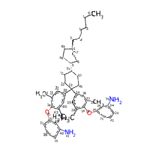 CCCCCC[C@H]1CC[C@H](C2CCC(c3cc(C)c(Oc4cccc(N)c4)c(C)c3)(c3cc(C)c(Oc4cccc(N)c4)c(C)c3)CC2)CC1